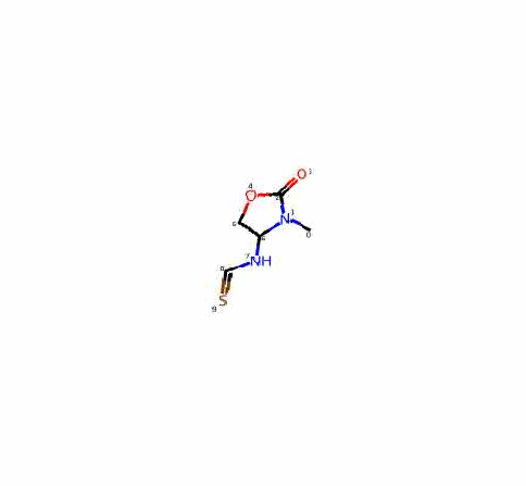 CN1C(=O)OCC1NC=S